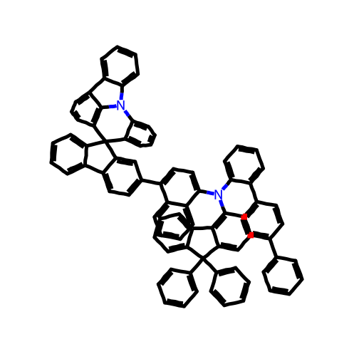 c1ccc(-c2ccc(-c3ccccc3N(c3cccc4c3-c3ccccc3C4(c3ccccc3)c3ccccc3)c3ccc(-c4ccc5c(c4)C4(c6ccccc6-5)c5ccccc5-n5c6ccccc6c6cccc4c65)c4ccccc34)cc2)cc1